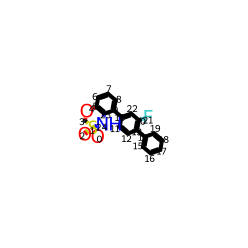 O=S1(=O)COc2cccc(-c3ccc(-c4ccccc4)c(F)c3)c2N1